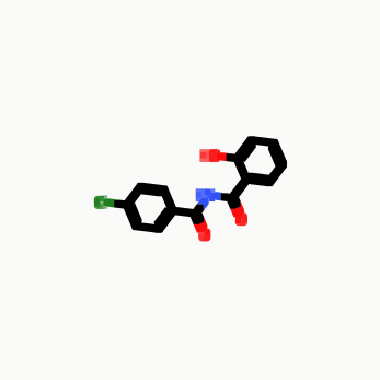 O=C(NC(=O)c1ccccc1O)c1ccc(Cl)cc1